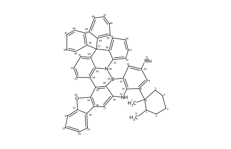 CC1CCCCC1(C)c1cc(C(C)(C)C)cc2c1Nc1cc3c(oc4ccccc43)c3c1B2N1c2ccccc2C(c2ccccc2)(c2ccccc2)c2cccc-3c21